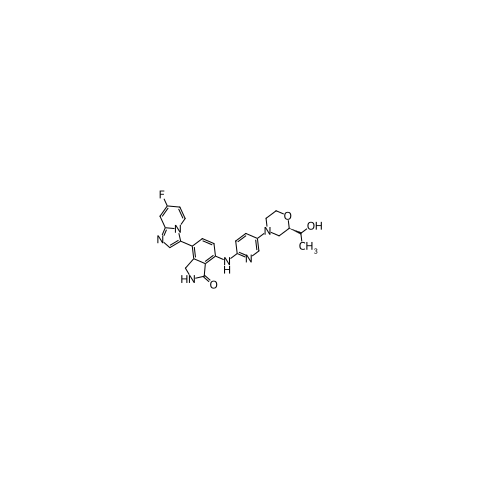 CC(O)[C@H]1CN(c2ccc(Nc3ccc(-c4cnc5cc(F)ccn45)c4c3C(=O)NC4)nc2)CCO1